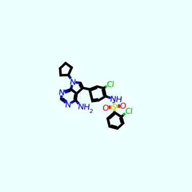 Nc1ncnc2c1c(-c1ccc(NS(=O)(=O)c3ccccc3Cl)c(Cl)c1)cn2C1CCCC1